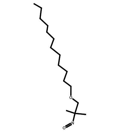 CCCCCCCCCCCCOCC(C)(C)N=O